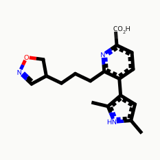 Cc1cc(-c2ccc(C(=O)O)nc2CCCC2C=NOC2)c(C)[nH]1